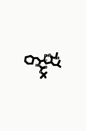 CNC(=O)C(CC(C)C)C[C@H](O)C(CC1CCCCC1)NC(=O)OC(C)(C)C